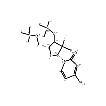 C[Si](C)(C)OC[C@H]1O[C@@H](n2ccc(N)nc2=O)C(F)(F)C1O[Si](C)(C)C